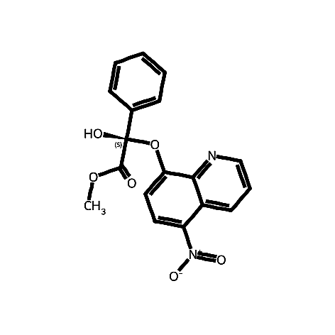 COC(=O)[C@@](O)(Oc1ccc([N+](=O)[O-])c2cccnc12)c1ccccc1